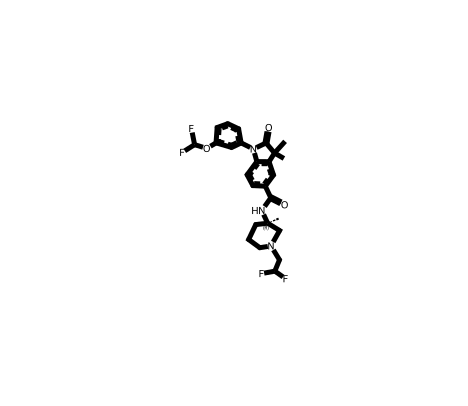 CC1(C)C(=O)N(c2cccc(OC(F)F)c2)c2ccc(C(=O)N[C@]3(C)CCCN(CC(F)F)C3)cc21